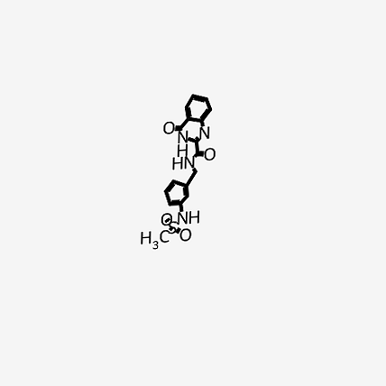 CS(=O)(=O)Nc1cccc(CNC(=O)c2nc3ccccc3c(=O)[nH]2)c1